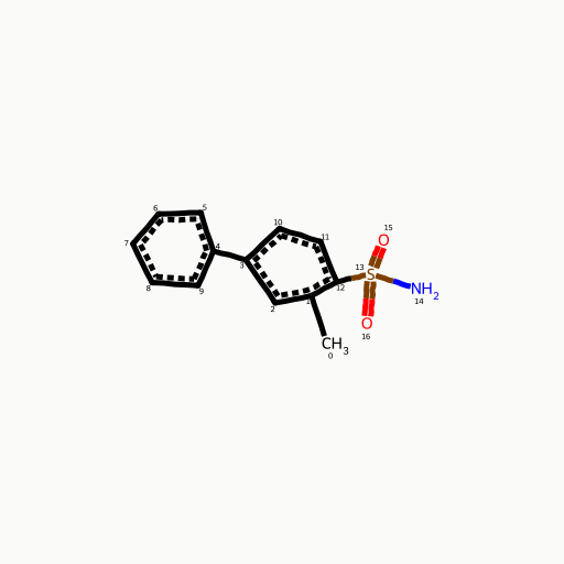 Cc1cc(-c2ccccc2)ccc1S(N)(=O)=O